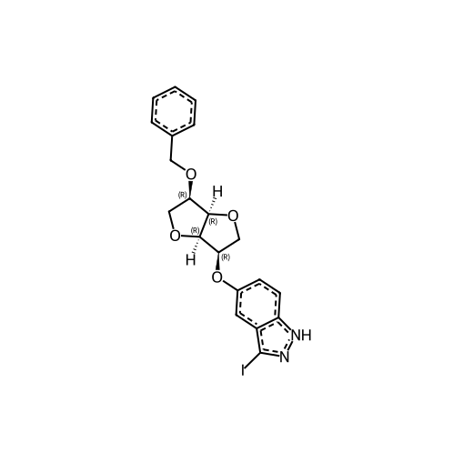 Ic1n[nH]c2ccc(O[C@@H]3CO[C@H]4[C@@H]3OC[C@H]4OCc3ccccc3)cc12